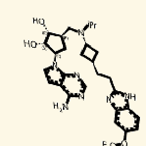 CC(C)N(C[C@H]1C[C@@H](n2ccc3c(N)ncnc32)[C@H](O)[C@@H]1O)[C@H]1C[C@H](CCc2nc3cc(OC(F)(F)F)ccc3[nH]2)C1